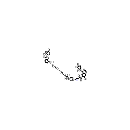 COc1cc2ncnc(Nc3ccc(F)c(Cl)c3)c2cc1NC(=O)/C=C/CN1CCC(NC(=O)COCCOCCOCCOCCNc2cccc3c2CN(C2CCC(=O)NC2=O)C3=O)CC1